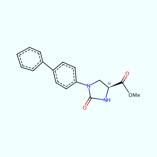 COC(=O)[C@@H]1CN(c2ccc(-c3ccccc3)cc2)C(=O)N1